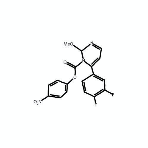 COC1N=CC=C(c2ccc(F)c(F)c2)N1C(=O)Oc1ccc([N+](=O)[O-])cc1